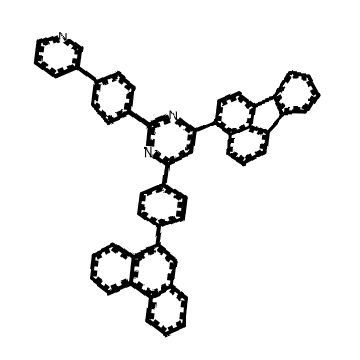 c1cncc(-c2ccc(-c3nc(-c4ccc(-c5cc6ccccc6c6ccccc56)cc4)cc(-c4ccc5c6c(cccc46)-c4ccccc4-5)n3)cc2)c1